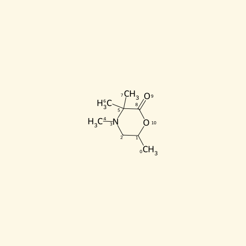 CC1CN(C)C(C)(C)C(=O)O1